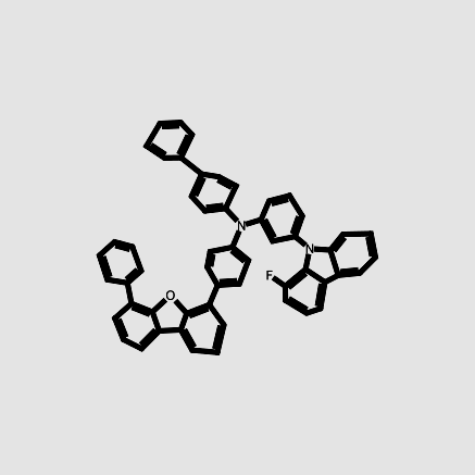 Fc1cccc2c3ccccc3n(-c3cccc(N(c4ccc(-c5ccccc5)cc4)c4ccc(-c5cccc6c5oc5c(-c7ccccc7)cccc56)cc4)c3)c12